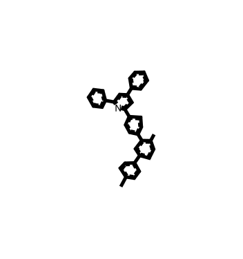 Cc1ccc(-c2ccc(C)c(-c3ccc(-c4cc(-c5ccccc5)cc(-c5ccccc5)n4)cc3)c2)cc1